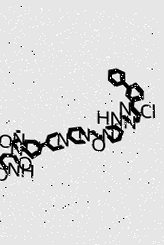 Cn1c(=O)n(C2CCC(=O)NC2=O)c2ccc(C3CCN(C4CCN(CC(=O)N5CCC[C@H](Nc6ncc(Cl)c(-c7cccc(-c8ccccc8)c7)n6)C5)CC4)CC3)cc21